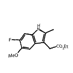 CCOC(=O)Cc1c(C)[nH]c2cc(F)c(OC)cc12